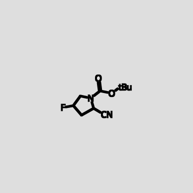 CC(C)(C)OC(=O)N1CC(F)CC1C#N